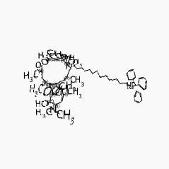 CC[C@H]1OC(=O)[C@H](C)C[C@H](C)[C@@H](O[C@@H]2O[C@H](C)C[C@H](N(C)C)[C@H]2O)[C@](C)(O)C[C@@H](C)CN(C(=O)CCCCCCCCCCCCC[PH](c2ccccc2)(c2ccccc2)c2ccccc2)[C@H](C)[C@@H](O)[C@]1(C)O